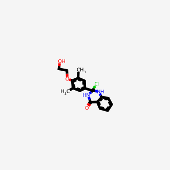 Cc1cc(C2(Cl)NC(=O)c3ccccc3N2)cc(C)c1OCCO